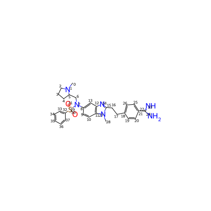 CN1CCCC1CN(c1ccc2c(c1)nc(CCc1ccc(C(=N)N)cc1)n2C)S(=O)(=O)c1ccccc1